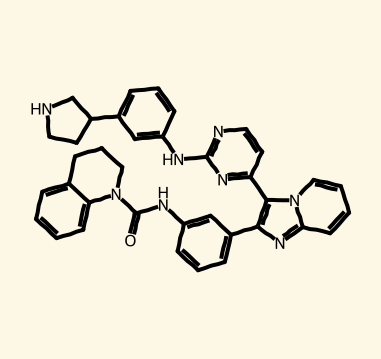 O=C(Nc1cccc(-c2nc3ccccn3c2-c2ccnc(Nc3cccc(C4CCNC4)c3)n2)c1)N1CCCc2ccccc21